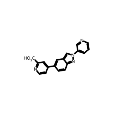 O=C(O)c1cc(-c2ccc3nn(-c4cccnc4)cc3c2)ccn1